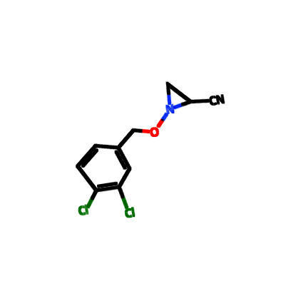 N#CC1CN1OCc1ccc(Cl)c(Cl)c1